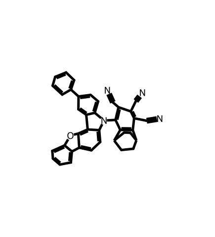 N#Cc1c(C#N)c2c(c(-n3c4ccc(-c5ccccc5)cc4c4c5oc6ccccc6c5ccc43)c1C#N)C1CCC2CC1